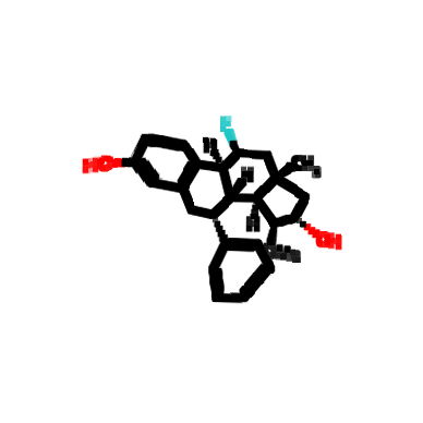 CO[C@H]1[C@H]2[C@H]3[C@@H](c4ccc(O)cc4C[C@H]3c3ccccc3)[C@@H](F)C[C@]2(C)C[C@@H]1O